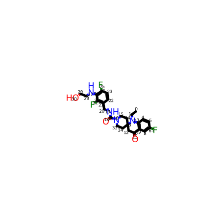 CCN1c2ccc(F)cc2C(=O)CC12CCN(C(=O)NCc1ccc(F)c(NCCO)c1F)CC2